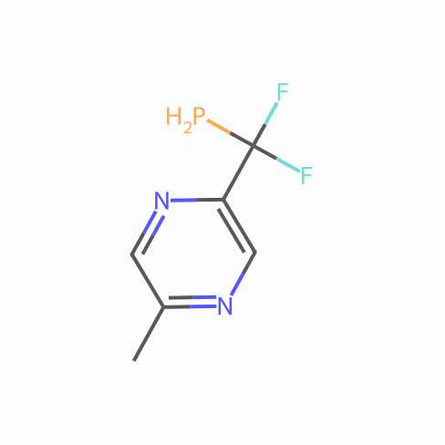 Cc1cnc(C(F)(F)P)cn1